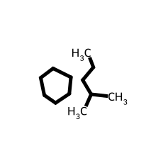 C1CCCCC1.CCCC(C)C